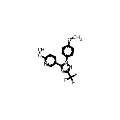 COc1ccc(-n2nc(C(F)(F)F)nc2-c2ccc(OC)nc2)cc1